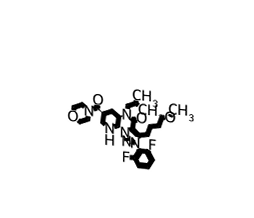 COCCCCc1c(C(=O)N(CC(C)C)[C@@H]2CNC[C@H](C(=O)N3CCOCC3)C2)nnn1-c1c(F)cccc1F